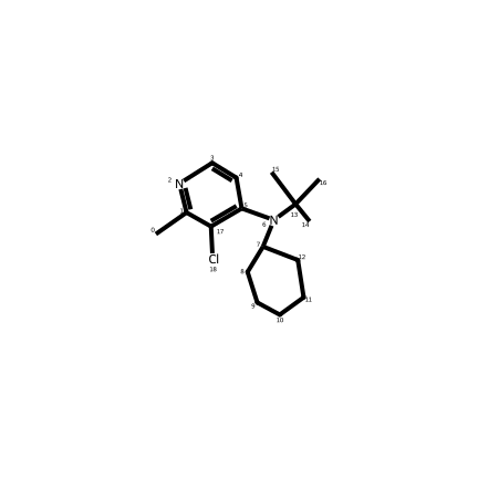 Cc1nccc(N(C2CCCCC2)C(C)(C)C)c1Cl